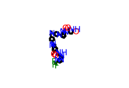 COc1cc2nn(C3CCC(CN(C)C4CCN(c5cccc6c5n(C)c(=O)n6C5CCC(=O)NC5=O)CC4)CC3)cc2cc1NC(=O)c1ncn2ccc(C(F)(F)F)nc12